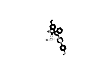 CCc1ccc2c(c1)NC(=O)C2(CCN1CCN(c2ccc(OC)cc2)CC1)c1ccccc1.Cl.Cl